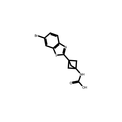 O=C(O)NC12CC(c3nc4ccc(Br)cc4s3)(C1)C2